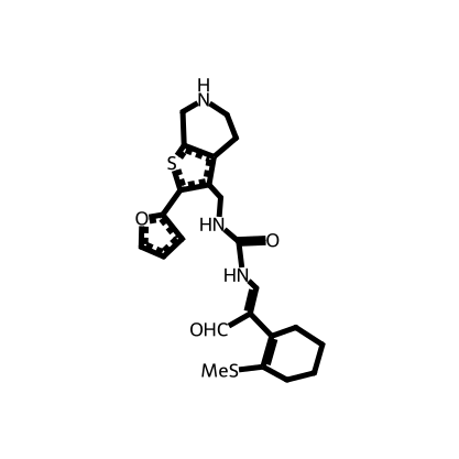 CSC1=C(/C(C=O)=C/NC(=O)NCc2c(-c3ccco3)sc3c2CCNC3)CCCC1